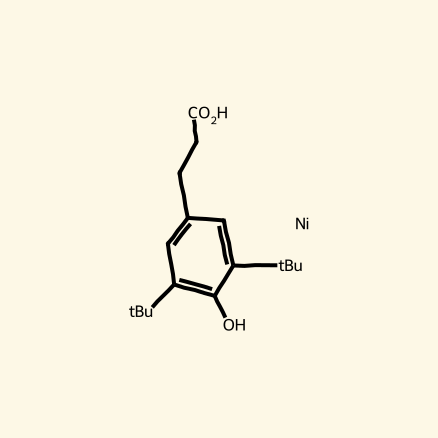 CC(C)(C)c1cc(CCC(=O)O)cc(C(C)(C)C)c1O.[Ni]